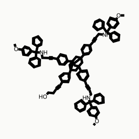 COc1ccc(C(NCC#Cc2ccc(C34CC5(c6ccc(C#CCCO)cc6)CC(c6ccc(C#CCNC(c7ccccc7)(c7ccccc7)c7ccc(OC)cc7)cc6)(C3)CC(c3ccc(C#CCNC(c6ccccc6)(c6ccccc6)c6ccc(OC)cc6)cc3)(C5)C4)cc2)(c2ccccc2)c2ccccc2)cc1